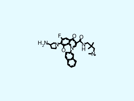 CN(C)CC(C)(C)CNC(=O)c1cn2c3c(c(N4CCC(N)C4)c(F)cc3c1=O)Oc1cc3ccccc3cc1-2